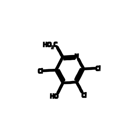 O=C(O)c1nc(Cl)c(Cl)c(O)c1Cl